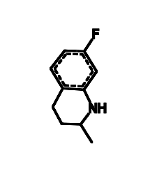 CC1CCc2ccc(F)cc2N1